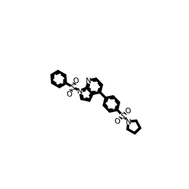 O=S(=O)(c1ccc(-c2ccnc3c2ccn3S(=O)(=O)c2ccccc2)cc1)N1CCCC1